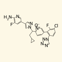 Nc1ncc(-c2cnn(C(CC3CC3)c3ccc(-c4c(-n5cnnn5)ccc(Cl)c4F)c[n+]3[O-])c2)cc1F